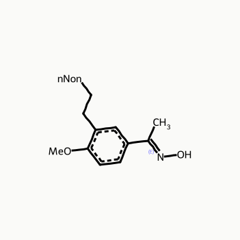 CCCCCCCCCCCc1cc(/C(C)=N/O)ccc1OC